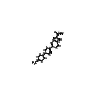 CC(C)N(C)c1nc2cc(-c3ccc(-c4ccc(C(F)(F)F)cc4)cn3)ccc2[nH]1